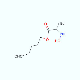 CCCC[C@H](NO)C(=O)OCCCCC=O